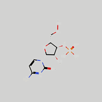 Nc1ccn([C@@H]2O[C@H](COO)[C@@H](OP(=O)(O)O)[C@H]2O)c(=O)n1